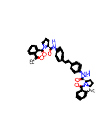 CCC(=O)c1ccccc1C(=O)N1CCC[C@H]1C(=O)Nc1ccc(/C=C/c2ccc(NC(=O)[C@@H]3CCCN3C(=O)c3ccccc3C(C)=O)cc2)cc1